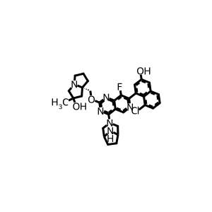 CC1(O)CN2CCC[C@@]2(COc2nc(N3CC4CCC(C3)N4)c3cnc(-c4cc(O)cc5cccc(Cl)c45)c(F)c3n2)C1